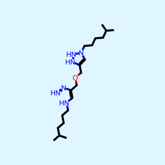 CC(C)CCCCN/C=C(/COCC1=CN(CCCCC(C)C)NN1)N=N